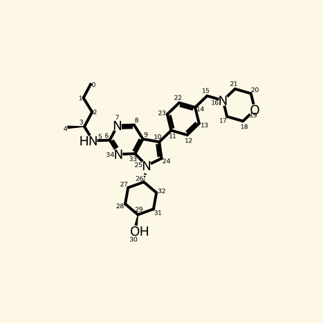 CCC[C@H](C)Nc1ncc2c(-c3ccc(CN4CCOCC4)cc3)cn([C@H]3CC[C@H](O)CC3)c2n1